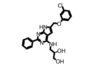 OC[C@H](O)CNc1nc(-c2ccccc2)nc2[nH]c(COc3cccc(Cl)c3)cc12